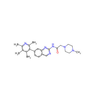 Bc1nc(B)c(-c2ccc3cnc(NC(=O)CN4CCN(C)CC4)nc3c2)c(B)c1B